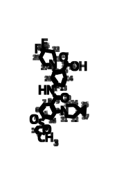 CCS(=O)(=O)c1ccc(C(=O)Nc2ccc(C(=O)O)c(N3CCC(F)(F)CC3)c2)c(N2CCC3(CC2)CC3)c1